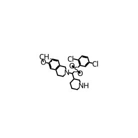 COc1ccc2c(c1)CCN(C(C1CCCNC1)S(=O)(=O)c1cc(Cl)ccc1Cl)C2